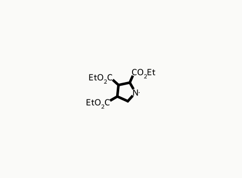 CCOC(=O)C1C[N]C(C(=O)OCC)C1C(=O)OCC